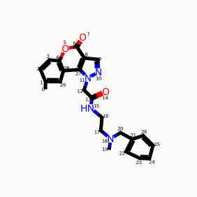 Cc1ccc2oc(=O)c3cnn(CC(=O)NCCN(C)Cc4ccccc4)c3c2c1